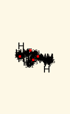 Fc1cc(N2[C@@H](c3ccc4nc([C@@H]5C[C@@H]6CCC[C@@H]6N5)[nH]c4c3)CC[C@@H]2c2ccc3nc([C@@H]4C[C@@H]5CCC[C@@H]5N4)[nH]c3c2)cc(F)c1N1CCCCC1